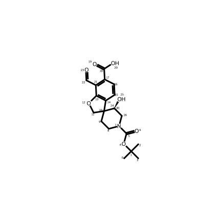 CC(C)(C)OC(=O)N1CCC2(COc3c2ccc(C(=O)O)c3C=O)[C@@H](O)C1